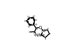 CNC(C)C(ON1CCCC1)c1ccccc1